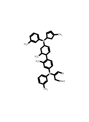 CC/C=C(\CC(C)CCC)N(c1cccc(C)c1)c1ccc(C2C=CC(N(c3cccc(C)c3)C3C=C=C(C)C3)CC2C)c(C)c1